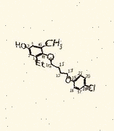 CCc1cc(O)cc(C)c1OCCCCOc1ccc(Cl)cc1